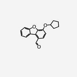 O=Cc1ccc(OC2CCCC2)c2oc3ccccc3c12